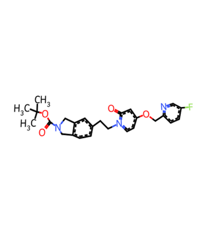 CC(C)(C)OC(=O)N1Cc2ccc(CCn3ccc(OCc4ccc(F)cn4)cc3=O)cc2C1